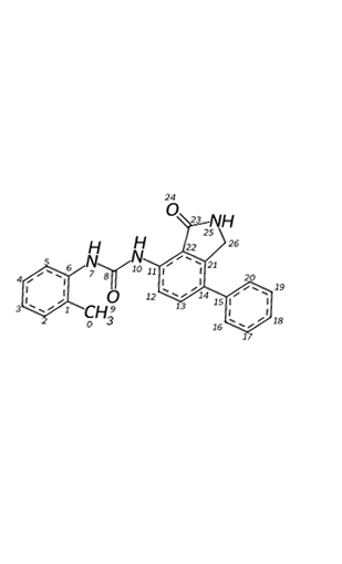 Cc1ccccc1NC(=O)Nc1ccc(-c2ccccc2)c2c1C(=O)NC2